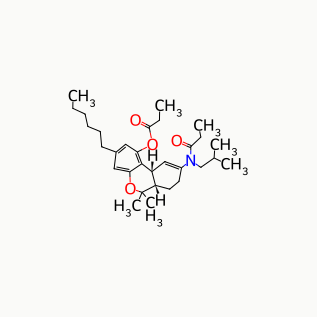 CCCCCCc1cc(OC(=O)CC)c2c(c1)OC(C)(C)[C@H]1CCC(N(CC(C)C)C(=O)CC)=C[C@@H]21